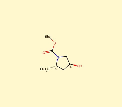 CCOC(=O)[C@H]1C[C@H](O)CN1C(=O)OC(C)(C)C